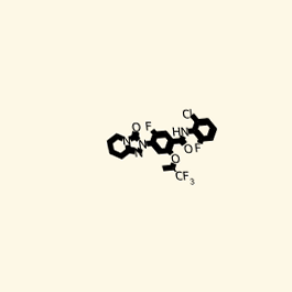 C[C@H](Oc1cc(-n2nc3n(c2=O)CCCC3)c(F)cc1C(=O)Nc1c(F)cccc1Cl)C(F)(F)F